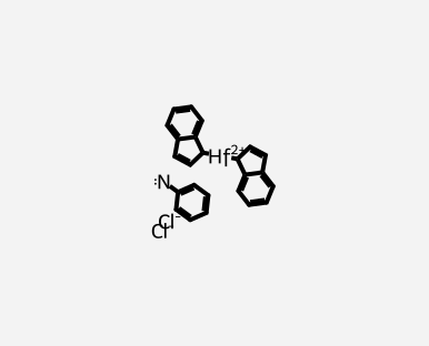 C1=C[CH]([Hf+2][CH]2C=Cc3ccccc32)c2ccccc21.[Cl-].[Cl-].[N]c1ccccc1